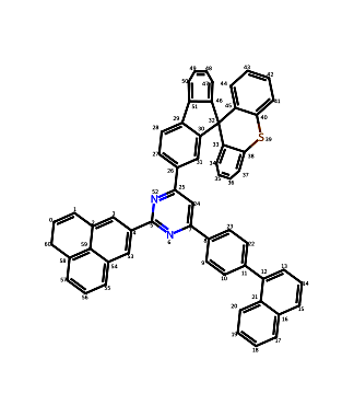 C1=Cc2cc(-c3nc(-c4ccc(-c5cccc6ccccc56)cc4)cc(-c4ccc5c(c4)C4(c6ccccc6Sc6ccccc64)c4ccccc4-5)n3)cc3cccc(c23)C1